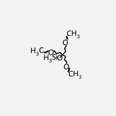 CC=COCCCC(CCCOC=CC)(CCCOC=CC)O[SiH3]